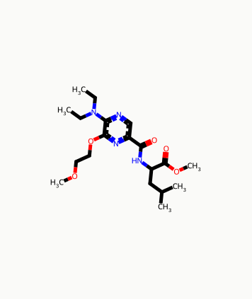 CCN(CC)c1ncc(C(=O)NC(CC(C)C)C(=O)OC)nc1OCCOC